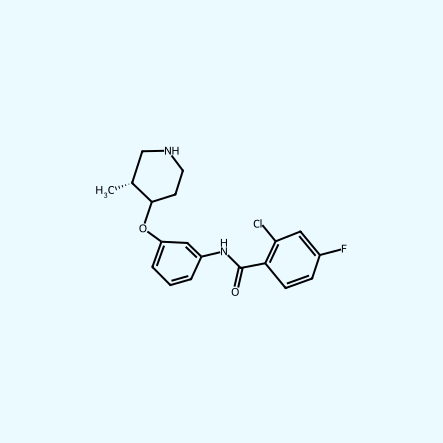 C[C@@H]1CNCCC1Oc1cccc(NC(=O)c2ccc(F)cc2Cl)c1